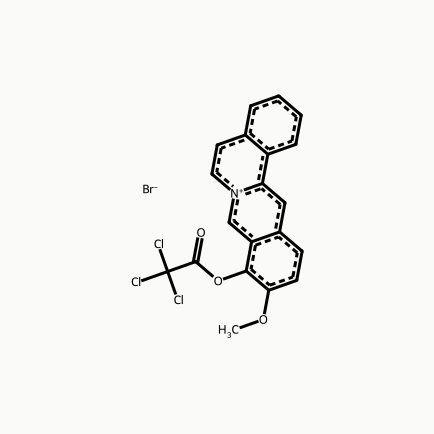 COc1ccc2cc3c4ccccc4cc[n+]3cc2c1OC(=O)C(Cl)(Cl)Cl.[Br-]